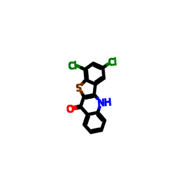 O=c1c2ccccc2[nH]c2c1sc1c(Cl)cc(Cl)cc12